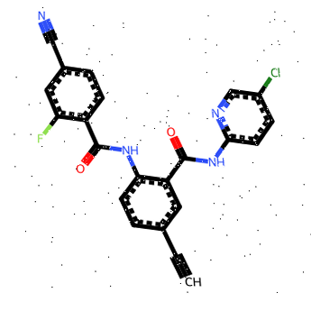 C#Cc1ccc(NC(=O)c2ccc(C#N)cc2F)c(C(=O)Nc2ccc(Cl)cn2)c1